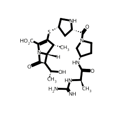 C[C@@H](NC(=N)N)C(=O)N[C@H]1CCN(C(=O)[C@@H]2C[C@H](SC3=C(C(=O)O)N4C(=O)[C@H]([C@@H](C)O)[C@H]4[C@H]3C)CN2)C1